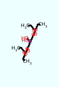 CC/C=C\CCCCOC(CCC(=O)OCCCCCCCN(CCCCCCCOC(=O)CCC(OCCCC/C=C\CC)OCCCC/C=C\CC)CCC(O)CO)OCCCC/C=C\CC